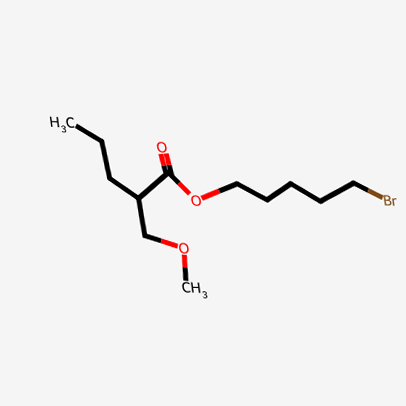 CCCC(COC)C(=O)OCCCCCBr